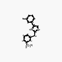 Cc1cccc(-c2csc(Cc3cccc(C(=O)O)c3)n2)c1